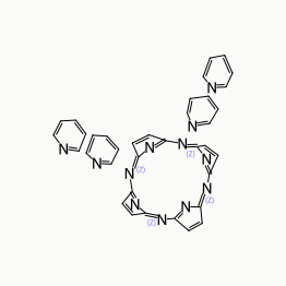 C1=C/C2=N/C3=NC(=N\C4=NC(=N\C5=NC(=N\C1=N2)/C=C5)/C=C4)/C=C3.c1ccncc1.c1ccncc1.c1ccncc1.c1ccncc1